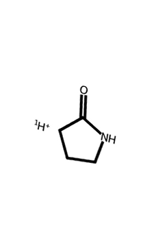 O=C1CCCN1.[1H+]